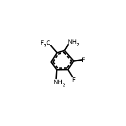 Nc1cc(C(F)(F)F)c(N)c(F)c1F